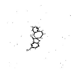 O=C1c2cc(Br)ccc2CC12CCCc1cnncc1C2